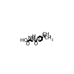 CN(C)C1CCN(C(=O)NC[C@H](N)C(=O)O)CC1